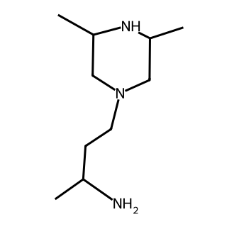 CC(N)CCN1CC(C)NC(C)C1